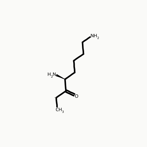 C[CH]C(=O)[C@@H](N)CCCCN